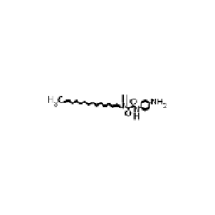 CCCCCCCCCCCCCCCCNC(=O)C(=O)NC1CCC(N)CC1